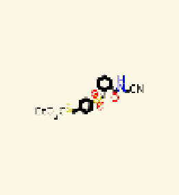 CCOC(=O)SCc1ccc(S(=O)(=O)C[C@H]2CCCC[C@@H]2C(=O)NCC#N)cc1